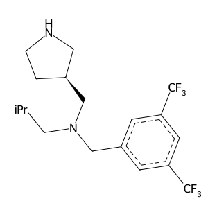 CC(C)CN(Cc1cc(C(F)(F)F)cc(C(F)(F)F)c1)C[C@H]1CCNC1